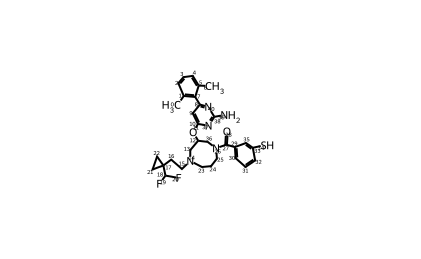 Cc1cccc(C)c1-c1cc(OC2CN(CCC3(C(F)F)CC3)CCCN(C(=O)c3cccc(S)c3)C2)nc(N)n1